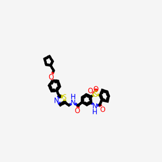 O=C(NCc1cnc(-c2ccc(OCC3CCCC3)cc2)s1)c1ccc2c(c1)NC(=O)c1ccccc1S2(=O)=O